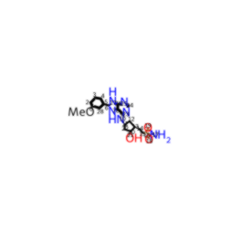 COc1cccc(-c2nc3c(N[C@@H]4C[C@@H](CCS(N)(=O)=O)[C@@H](O)C4)ncnc3[nH]2)c1